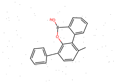 Cc1ccc(-c2ccccc2)c2c1-c1ccccc1B(O)O2